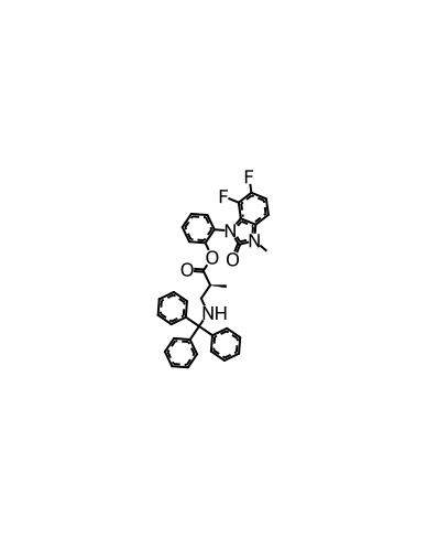 C[C@@H](CNC(c1ccccc1)(c1ccccc1)c1ccccc1)C(=O)Oc1ccccc1-n1c(=O)n(C)c2ccc(F)c(F)c21